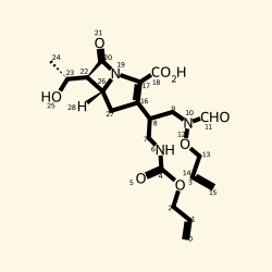 C=CCOC(=O)NCC(CN(C=O)OCC=C)C1=C(C(=O)O)N2C(=O)[C@H]([C@@H](C)O)[C@H]2C1